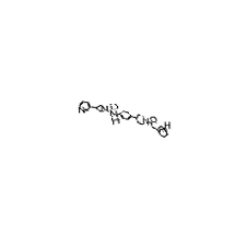 O=C(CC1C[C@@H]2CCC1C2)N1CCC(c2ccc(NC(=O)N3CC(c4cccnc4)C3)cc2)CC1